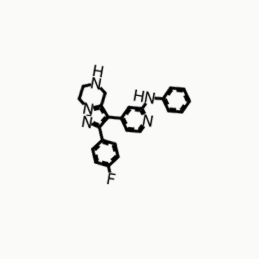 Fc1ccc(-c2nn3c(c2-c2ccnc(Nc4ccccc4)c2)CNCC3)cc1